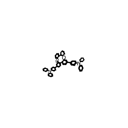 C1=CCC2Oc3cc(-c4ccc(N(C5=CCCC=C5)c5ccccc5)cc4)ccc3-c3ccc(-c4ccc(N(c5ccccc5)c5ccccc5)cc4)cc3Oc3ccccc3C2=C1